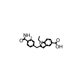 CCn1c(Cc2ccc(C(N)=O)cc2)cc2cc(C(=O)O)ccc21